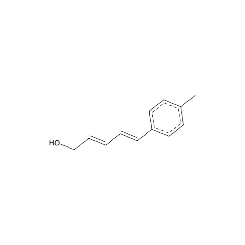 Cc1ccc(C=CC=CCO)cc1